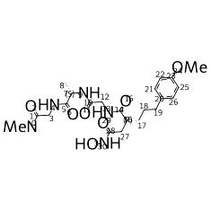 CNC(=O)CNC(=O)[C@H](C)NC(=O)CNC(=O)[C@H](CCCc1ccc(OC)cc1)CC(=O)NO